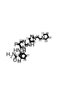 NC(=O)[C@@H]1[C@H](Nc2nc(Nc3cnn(CCN4CCCC4)c3)ncc2F)[C@H]2C=C[C@@H]1C2